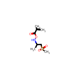 C=C(C)C(=O)ONC(C)CS(C)(=O)=O